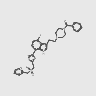 O=C(c1ccccc1)N1CCN(CCc2c[nH]c3c(-c4nc(CS(=O)(=O)Cc5ccco5)no4)ccc(F)c23)CC1